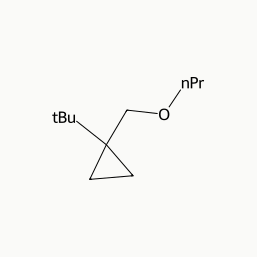 CCCOCC1(C(C)(C)C)CC1